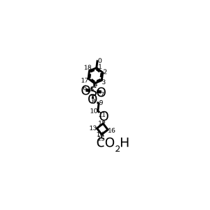 Cc1ccc(S(=O)(=O)OCCO[C@H]2C[C@@H](C(=O)O)C2)cc1